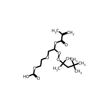 C=C(C)C(=O)OC(COCCOC(=O)O)OOC(C)(C)CC(C)(C)C